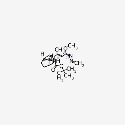 C=N/N=C(\C=C(/C)N1CC2CC[C@@H](C1)[C@@H]2NC(=O)OC(C)(C)C)OC